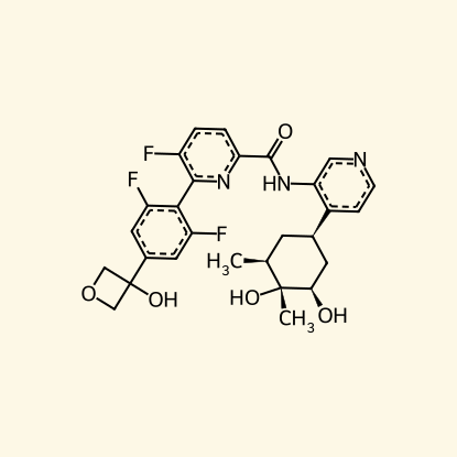 C[C@H]1C[C@@H](c2ccncc2NC(=O)c2ccc(F)c(-c3c(F)cc(C4(O)COC4)cc3F)n2)C[C@@H](O)[C@]1(C)O